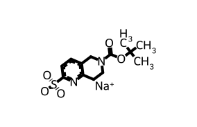 CC(C)(C)OC(=O)N1CCc2nc(S(=O)(=O)[O-])ccc2C1.[Na+]